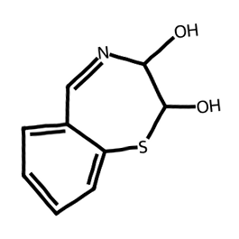 OC1N=Cc2ccccc2SC1O